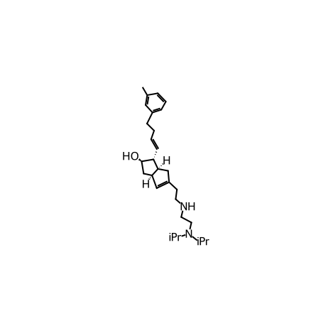 Cc1cccc(CC/C=C/[C@@H]2[C@H]3CC(CCNCCN(C(C)C)C(C)C)=C[C@H]3C[C@H]2O)c1